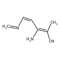 C=N/C=C\C(N)=C(/C)C#N